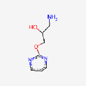 NCC(O)COc1ncccn1